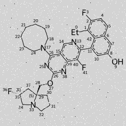 CCc1c(F)ccc2cc(O)cc(-c3ncc4c(N5CCCCCCC5)nc(OC[C@@]56CCCN5C[C@H](F)C6)nc4c3F)c12